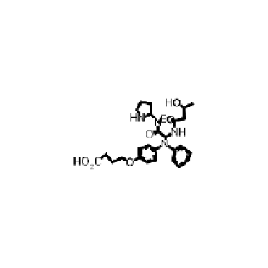 CCN(C(=O)C(NC(=O)CC(C)O)N(c1ccccc1)c1ccc(OCCCC(=O)O)cc1)C1CCCN1